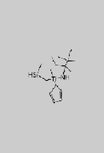 CCC(C)([NH][Ti]([CH3])([CH2][SiH](C)C)[CH]1C=CC=C1)C(C)(C)C